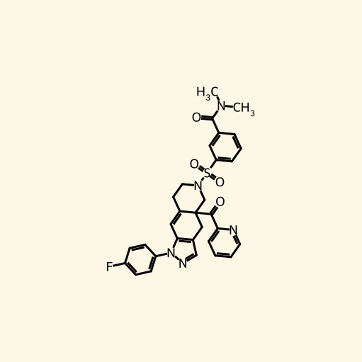 CN(C)C(=O)c1cccc(S(=O)(=O)N2CCC3=Cc4c(cnn4-c4ccc(F)cc4)CC3(C(=O)c3ccccn3)C2)c1